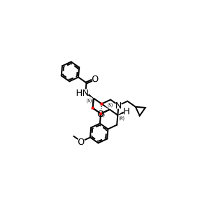 COc1ccc2c(c1)[C@]13CCN(CC4CC4)[C@H](C2)[C@]12CC[C@@](NC(=O)c1ccccc1)(CO2)C3